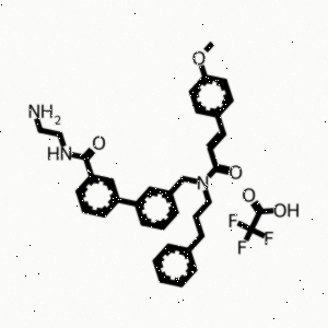 COc1ccc(C=CC(=O)N(CCCc2ccccc2)Cc2cccc(-c3cccc(C(=O)NCCN)c3)c2)cc1.O=C(O)C(F)(F)F